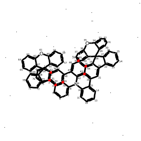 c1ccc(-c2cccc(N(c3ccccc3-c3ccc4c(c3)-c3ccccc3C43c4ccccc4Oc4ccccc43)c3ccccc3-c3ccc4c(c3)C3(c5ccccc5Oc5ccccc53)c3ccccc3-4)c2)cc1